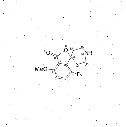 COc1ccc(F)c2c1C(=O)OC21CCNCC1